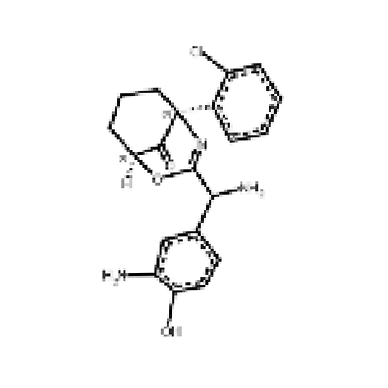 Nc1cc(C(N)C2=N[C@]3(c4ccccc4Cl)CCC[C@H](O2)C3=O)ccc1O